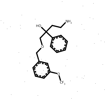 NCCC(O)(COCc1cccc(OC(F)(F)F)c1)c1ccccc1